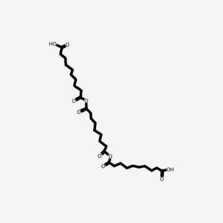 O=C(O)CCCCCCCCC(=O)OC(=O)CCCCCCCC(=O)OC(=O)CCCCCCCCC(=O)O